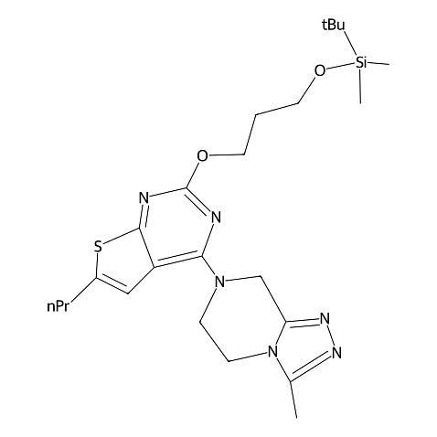 CCCc1cc2c(N3CCn4c(C)nnc4C3)nc(OCCCO[Si](C)(C)C(C)(C)C)nc2s1